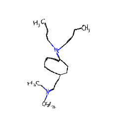 CCCN(CCC)C1CCC(CN(C)C)CC1